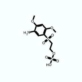 COc1cc(OC)c(S(=O)(=O)CCOS(=O)(=O)O)cc1N